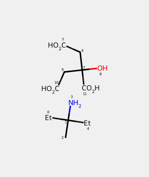 CCC(C)(N)CC.O=C(O)CC(O)(CC(=O)O)C(=O)O